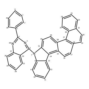 c1ccc(-c2nc(-n3c4ccccc4c4c5ccc6ccc7ccccc7c6c5ccc43)c3ccccc3n2)cc1